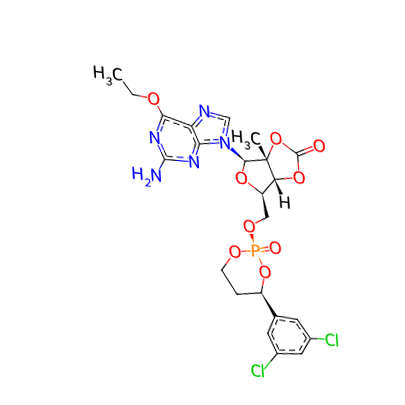 CCOc1nc(N)nc2c1ncn2[C@@H]1O[C@H](CO[P@]2(=O)OCC[C@H](c3cc(Cl)cc(Cl)c3)O2)[C@H]2OC(=O)O[C@]21C